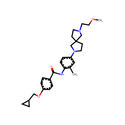 COCCN1CCC2(CCN(c3ccc(NC(=O)c4ccc(OCC5CC5)cc4)c(C)c3)C2)C1